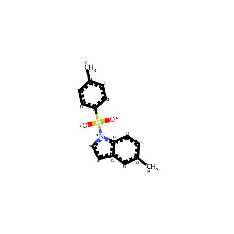 Cc1ccc(S(=O)(=O)n2ccc3cc(C)ccc32)cc1